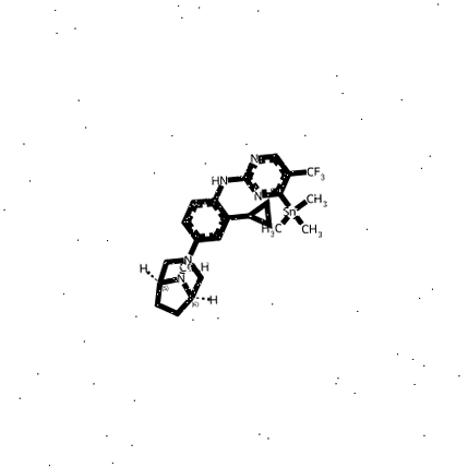 [CH3][Sn]([CH3])([CH3])[c]1nc(Nc2ccc(N3C[C@H]4CC[C@@H](C3)N4C(=O)O)cc2C2CC2)ncc1C(F)(F)F